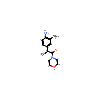 COc1cc(C(C)C(=O)N2CCOCC2)ccc1N